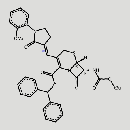 COc1ccccc1N1CC/C(=C\C2=C(C(=O)OC(c3ccccc3)c3ccccc3)N3C(=O)[C@@H](NC(=O)OC(C)(C)C)[C@H]3SC2)C1=O